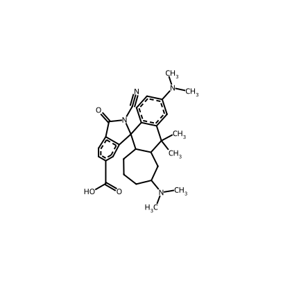 CN(C)c1ccc2c(c1)C(C)(C)C1CC(N(C)C)CCCC1C21c2cc(C(=O)O)ccc2C(=O)N1C#N